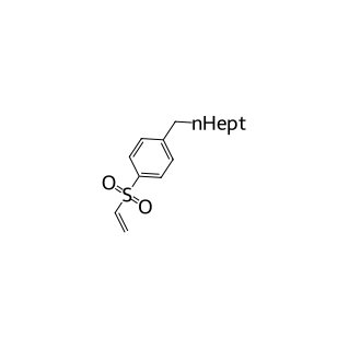 C=CS(=O)(=O)c1ccc(CCCCCCCC)cc1